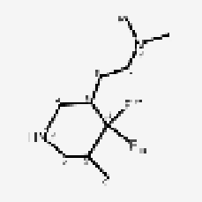 CC1CNCC(CCN(C)C)C1(F)F